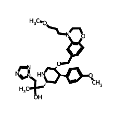 COCCCN1CCOc2ccc(CO[C@H]3CN[C@@H](CC(C)(O)Cn4cncn4)C[C@@H]3c3ccc(OC)cc3)cc21